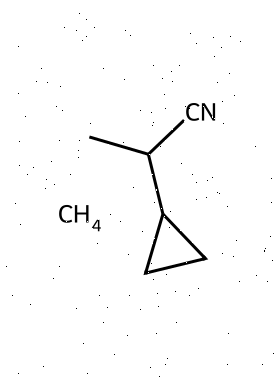 C.CC(C#N)C1CC1